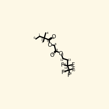 CCC(C)(C)C(=O)OCC(=O)OCCC(F)(F)C(F)(F)F